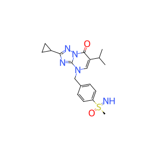 CC(C)c1cn(Cc2ccc([S@](C)(=N)=O)cc2)c2nc(C3CC3)nn2c1=O